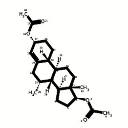 CC(=O)O[C@H]1CC[C@H]2[C@H]3[C@H](CC[C@]12C)[C@H]1CC[C@@H](OC(C)=O)C=C1C[C@H]3C